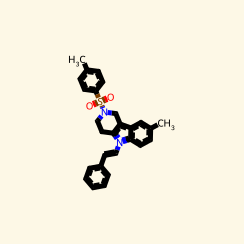 Cc1ccc(S(=O)(=O)N2CCc3c(c4cc(C)ccc4n3C=Cc3ccccc3)C2)cc1